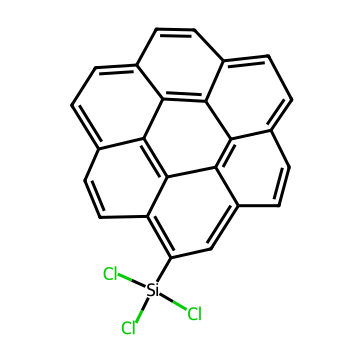 Cl[Si](Cl)(Cl)c1cc2ccc3ccc4ccc5ccc6ccc1c1c6c5c4c3c21